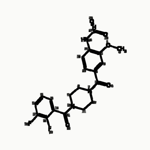 COc1cc(C(=O)N2CCN(C(=O)c3cccc(F)c3F)CC2)ccc1N[SH](=O)=O